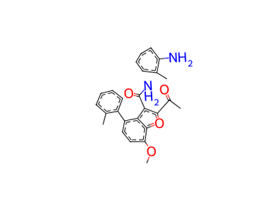 COc1ccc(-c2ccccc2C)c2c(C(N)=O)c(C(C)=O)oc12.Cc1ccccc1N